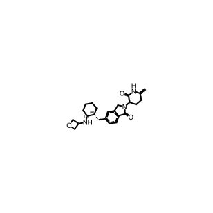 C=C1CCC(N2Cc3cc(C[C@H]4CCCC[C@@H]4NC4COC4)ccc3C2=O)C(=O)N1